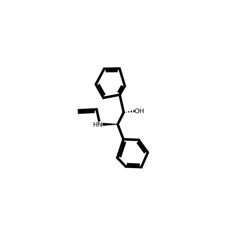 C=CN[C@H](c1ccccc1)[C@@H](O)c1ccccc1